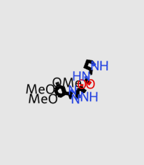 COc1cc(-c2cnc3[nH]cc(OC(=O)NCC4CCCN4)c3n2)cc(OC)c1OC